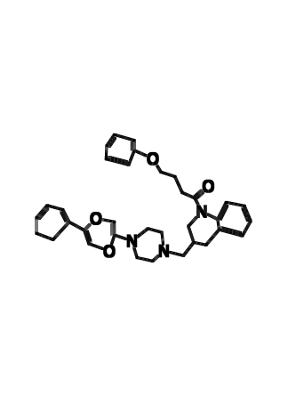 O=C(CCCOc1ccccc1)N1CC(CN2CCN(C3=COC(C4=CC=CCC4)=CO3)CC2)Cc2ccccc21